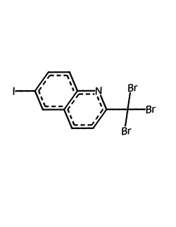 BrC(Br)(Br)c1ccc2cc(I)ccc2n1